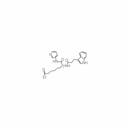 CCC(=O)CCCCC[C@H](NC(=O)CCc1c[nH]c2ccccc12)C(=O)Nc1cccnc1